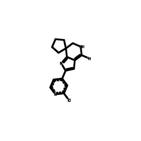 [2H]C1=C2C=C(c3ccnc(Cl)c3)N=C2C2(CCCC2)CN1